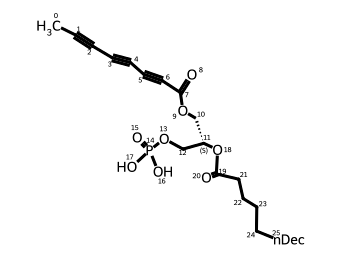 CC#CC#CC#CC(=O)OC[C@@H](COP(=O)(O)O)OC(=O)CCCCCCCCCCCCCC